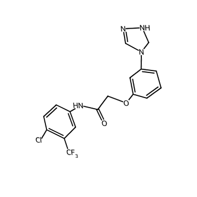 O=C(COc1cccc(N2C=NNC2)c1)Nc1ccc(Cl)c(C(F)(F)F)c1